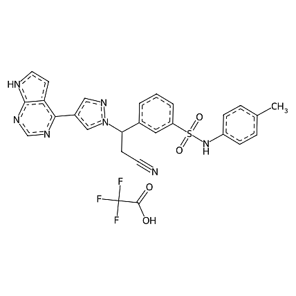 Cc1ccc(NS(=O)(=O)c2cccc(C(CC#N)n3cc(-c4ncnc5[nH]ccc45)cn3)c2)cc1.O=C(O)C(F)(F)F